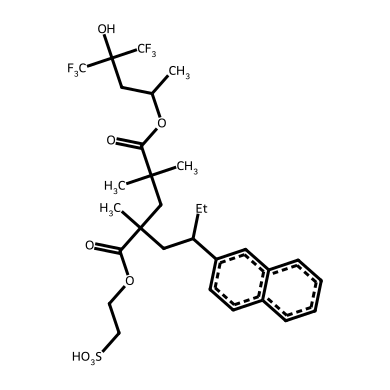 CCC(CC(C)(CC(C)(C)C(=O)OC(C)CC(O)(C(F)(F)F)C(F)(F)F)C(=O)OCCS(=O)(=O)O)c1ccc2ccccc2c1